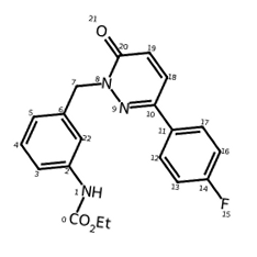 CCOC(=O)Nc1cccc(Cn2nc(-c3ccc(F)cc3)ccc2=O)c1